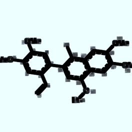 C=Cc1cc(OC)c(OC)cc1-c1cc(OCC)c2cc(OC)c(OC)cc2c1C